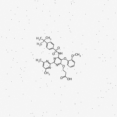 COc1ccccc1Oc1c(NS(=O)(=O)c2ccc(C(C)(C)C)cc2)nc(-c2nc(C)cc(C)n2)nc1OCCC(=O)O